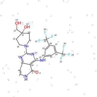 O=c1[nH]ccc2nc(N3CCC(O)(CO)CC3)nc(Nc3cc(C(F)(F)F)cc(C(F)(F)F)c3)c12